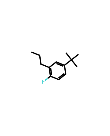 CCCc1cc(C(C)(C)C)ccc1F